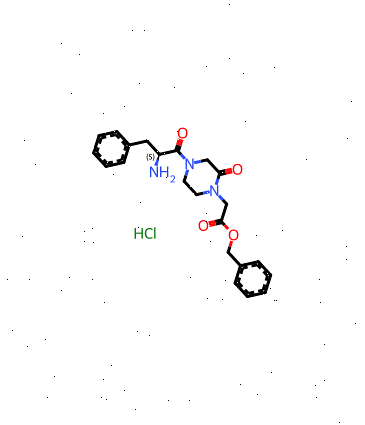 Cl.N[C@@H](Cc1ccccc1)C(=O)N1CCN(CC(=O)OCc2ccccc2)C(=O)C1